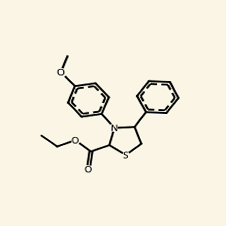 CCOC(=O)C1SCC(c2ccccc2)N1c1ccc(OC)cc1